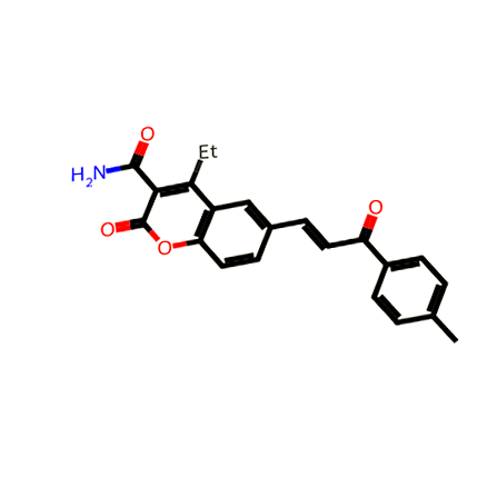 CCc1c(C(N)=O)c(=O)oc2ccc(C=CC(=O)c3ccc(C)cc3)cc12